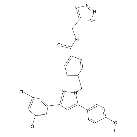 COc1ccc(-c2cc(-c3cc(Cl)cc(Cl)c3)nn2Cc2ccc(C(=O)NCc3nnn[nH]3)cc2)cc1